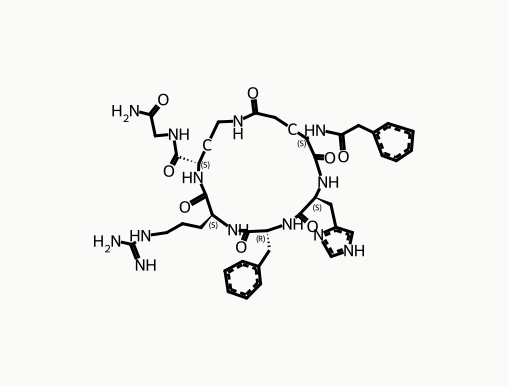 N=C(N)NCCC[C@@H]1NC(=O)[C@@H](Cc2ccccc2)NC(=O)[C@H](Cc2c[nH]cn2)NC(=O)[C@@H](NC(=O)Cc2ccccc2)CCC(=O)NCC[C@@H](C(=O)NCC(N)=O)NC1=O